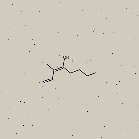 C=C/C(C)=C(/O)CCCC